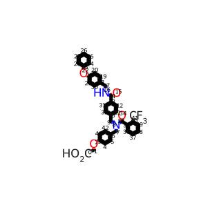 O=C(O)COc1ccc(CN(Cc2ccc(C(=O)NCc3ccc(Oc4ccccc4)cc3)cc2)C(=O)c2ccccc2C(F)(F)F)cc1